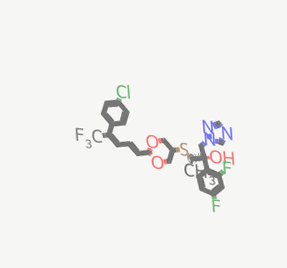 C[C@@H](SC1COC(C=CC=C(c2ccc(Cl)cc2)C(F)(F)F)OC1)[C@](O)(Cn1cncn1)c1ccc(F)cc1F